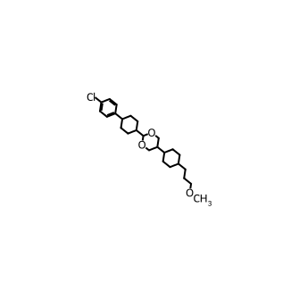 COCCCC1CCC(C2COC(C3CCC(c4ccc(Cl)cc4)CC3)OC2)CC1